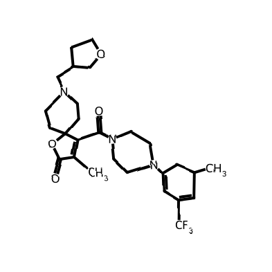 CC1=C(C(=O)N2CCN(C3=CC(C(F)(F)F)=CC(C)C3)CC2)C2(CCN(CC3CCOC3)CC2)OC1=O